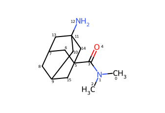 CN(C)C(=O)C12CC3CC(CC(N)(C3)C1)C2